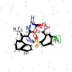 CC(c1cccc2c1CCC2)C(NS(=O)(=O)c1ccc(Cl)cc1CO)c1n[nH]c(=O)o1